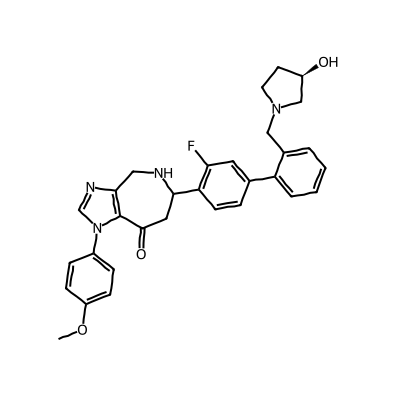 COc1ccc(-n2cnc3c2C(=O)CC(c2ccc(-c4ccccc4CN4CC[C@@H](O)C4)cc2F)NC3)cc1